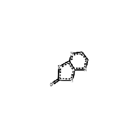 O=c1sc2nccnc2s1